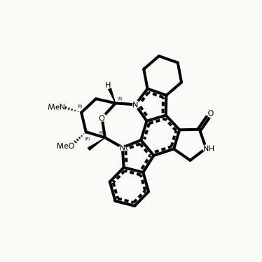 CN[C@@H]1C[C@H]2O[C@@](C)([C@@H]1OC)n1c3ccccc3c3c4c(c5c6c(n2c5c31)CCCC6)C(=O)NC4